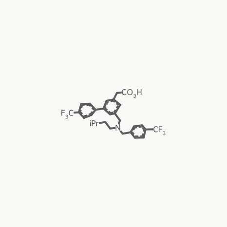 CC(C)CCN(Cc1ccc(C(F)(F)F)cc1)Cc1cc(CC(=O)O)cc(-c2ccc(C(F)(F)F)cc2)c1